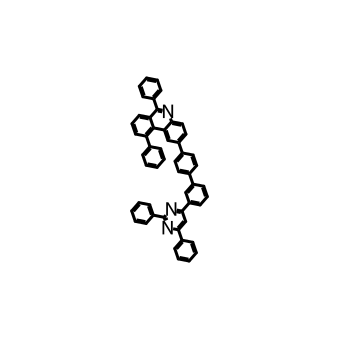 c1ccc(-c2cc(-c3cccc(-c4ccc(-c5ccc6nc(-c7ccccc7)c7cccc(-c8ccccc8)c7c6c5)cc4)c3)nc(-c3ccccc3)n2)cc1